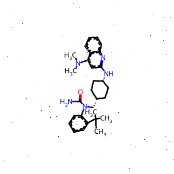 CN(C)c1cc(N[C@H]2CC[C@@H](CN(C(N)=O)c3ccccc3C(C)(C)C)CC2)nc2ccccc12